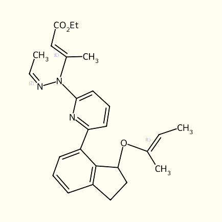 C/C=N\N(/C(C)=C/C(=O)OCC)c1cccc(-c2cccc3c2C(O/C(C)=C/C)CC3)n1